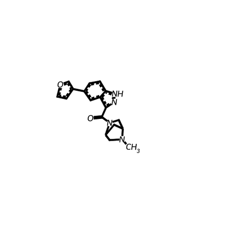 CN1CC2CC1CN2C(=O)c1n[nH]c2ccc(-c3ccoc3)cc12